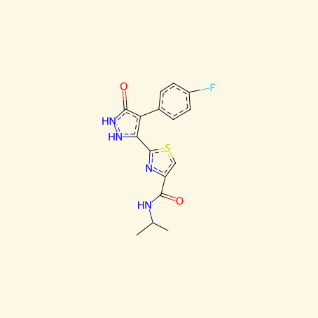 CC(C)NC(=O)c1csc(-c2[nH][nH]c(=O)c2-c2ccc(F)cc2)n1